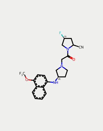 N#CC1C[C@H](F)CN1C(=O)CN1CC[C@@H](Nc2ccc(OC(F)(F)F)c3ccccc23)C1